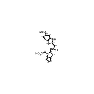 CCC(=Cc1sc2cscc2[n+]1CC(=O)O)C=C1Nc2cc(OC)ccc2S1